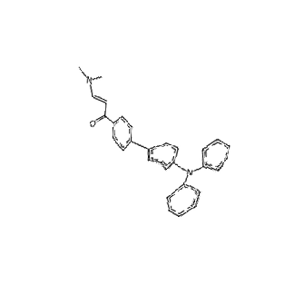 CN(C)C=CC(=O)c1ccc(-c2ccc(N(c3ccccc3)c3ccccc3)cc2)cc1